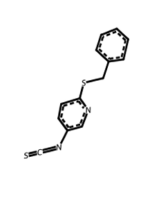 S=C=Nc1ccc(SCc2ccccc2)nc1